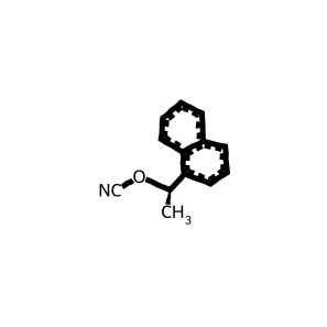 C[C@@H](OC#N)c1cccc2ccccc12